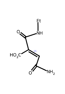 CCNC(=O)/C(=C/C(N)=O)C(=O)O